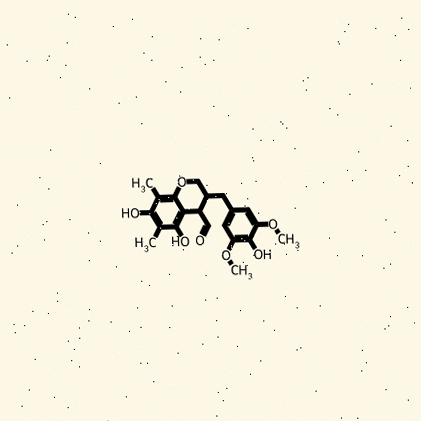 COc1cc(CC2COc3c(C)c(O)c(C)c(O)c3C2C=O)cc(OC)c1O